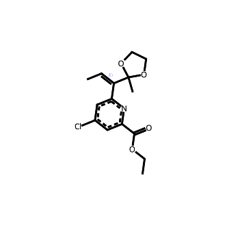 C/C=C(\c1cc(Cl)cc(C(=O)OCC)n1)C1(C)OCCO1